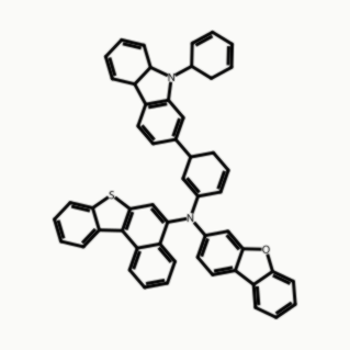 C1=CCC(N2c3cc(C4C=C(N(c5ccc6c(c5)oc5ccccc56)c5cc6sc7ccccc7c6c6ccccc56)C=CC4)ccc3C3C=CC=CC32)C=C1